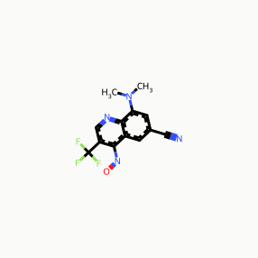 CN(C)c1cc(C#N)cc2c(N=O)c(C(F)(F)F)cnc12